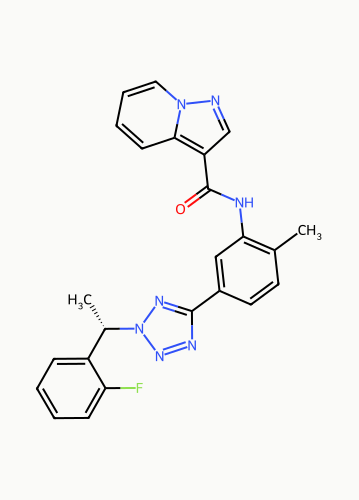 Cc1ccc(-c2nnn([C@@H](C)c3ccccc3F)n2)cc1NC(=O)c1cnn2ccccc12